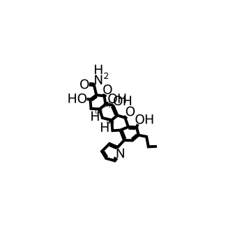 CCCc1cc(-c2ccccn2)c2c(c1O)C(=O)C1=C(O)[C@]3(O)C(=O)C(C(N)=O)=C(O)C[C@@H]3C[C@@H]1C2